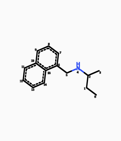 CCC(C)NCc1cccc2ccccc12